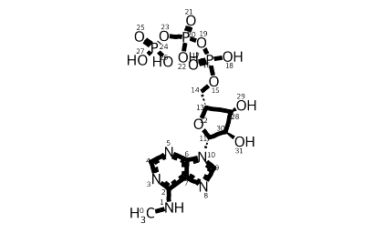 CNc1ncnc2c1ncn2[C@@H]1O[C@H](COP(=O)(O)OP(=O)(O)OP(=O)(O)O)[C@@H](O)[C@H]1O